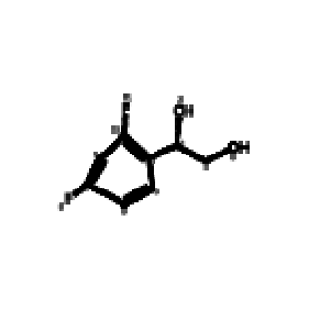 OC[C@H](O)c1ccc(F)cc1F